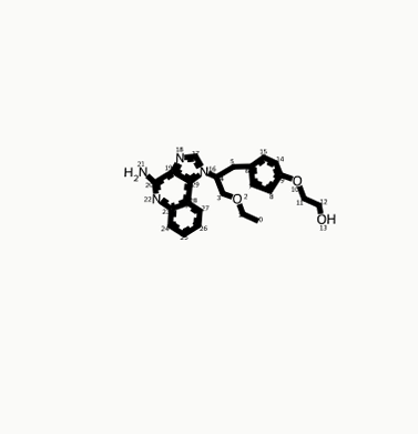 CCOCC(Cc1ccc(OCCO)cc1)n1cnc2c(N)nc3ccccc3c21